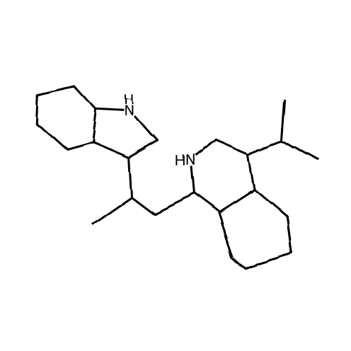 CC(C)C1CNC(CC(C)C2CNC3CCCCC32)C2CCCCC12